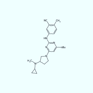 CCCCc1cc(N2CCC(N(C)C3CC3)C2)nc(Nc2ccc(C)c(C#N)c2)n1